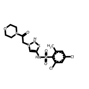 Cc1cc(Cl)cc(Cl)c1S(=O)(=O)NC1=CN(CC(=O)N2CCOCC2)NS1